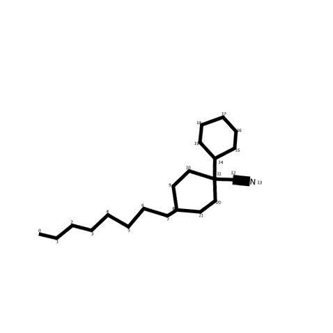 CCCCCCCCC1CCC(C#N)(C2CCCCC2)CC1